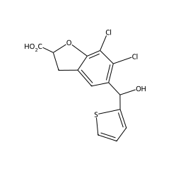 O=C(O)C1Cc2cc(C(O)c3cccs3)c(Cl)c(Cl)c2O1